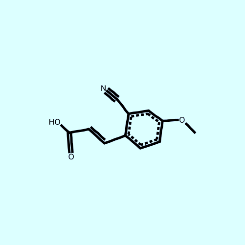 COc1ccc(/C=C/C(=O)O)c(C#N)c1